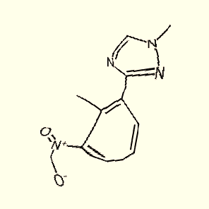 Cc1c(-c2ncn(C)n2)cccc1[N+](=O)[O-]